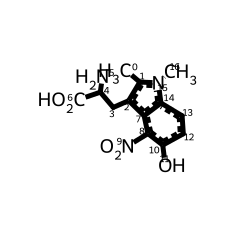 Cc1c(CC(N)C(=O)O)c2c([N+](=O)[O-])c(O)ccc2n1C